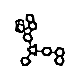 c1ccc(-c2nc(-c3ccc(-c4cccc5ccccc45)cc3)nc(-c3ccc4c(c3)-c3ccc5ccccc5c3C43C4CC5CC(C4)CC3C5)n2)cc1